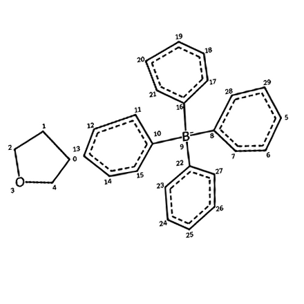 C1CCOC1.c1ccc([B-](c2ccccc2)(c2ccccc2)c2ccccc2)cc1